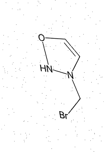 BrCN1C=CON1